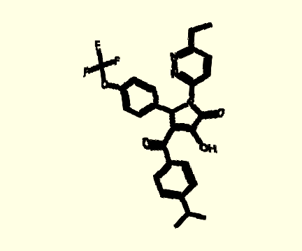 CCc1ccc(N2C(=O)C(O)=C(C(=O)c3ccc(C(C)C)cc3)C2c2ccc(OC(F)(F)F)cc2)nn1